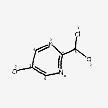 Clc1[c]nc(C(Cl)Cl)nc1